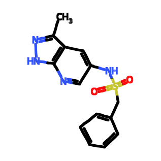 Cc1n[nH]c2ncc(NS(=O)(=O)Cc3ccccc3)cc12